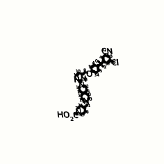 CC(C)(c1ccc(OCc2ccnc(N3CCC4(CCN(CC5CCN(C(=O)O)CC5)CC4)CC3)n2)cc1)c1cc(Cl)cc(C#N)c1